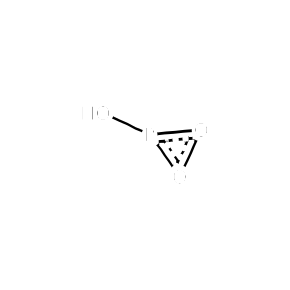 Op1oo1